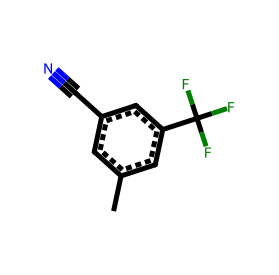 Cc1cc(C#N)cc(C(F)(F)F)c1